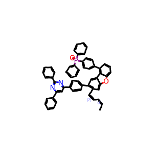 C/C=C\C=C/c1cc2oc3cccc(-c4ccc(P(=O)(c5ccccc5)c5ccccc5)cc4)c3c2cc1-c1ccc(-c2cc(-c3ccccc3)nc(-c3ccccc3)n2)cc1